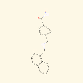 O=C(NO)c1ccc(CNCc2c(O)ccc3ccccc23)cc1